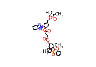 C=C(C)C(=O)OCCc1ccc(OC(=O)CCC(=O)OCc2cc(C)c(C(=O)P(=O)(c3ccccc3)c3ccccc3)c(C)c2)c(-n2nc3ccccc3n2)c1